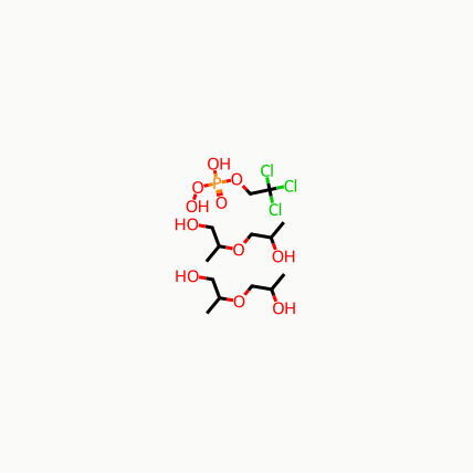 CC(O)COC(C)CO.CC(O)COC(C)CO.O=P(O)(OO)OCC(Cl)(Cl)Cl